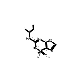 CCC(C)NC1=Nc2sccc2S(=O)(=O)N1